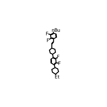 CCCCc1ccc(/C=C/C2CCC(c3ccc(C4CCC(CC)CC4)c(F)c3F)CC2)c(F)c1F